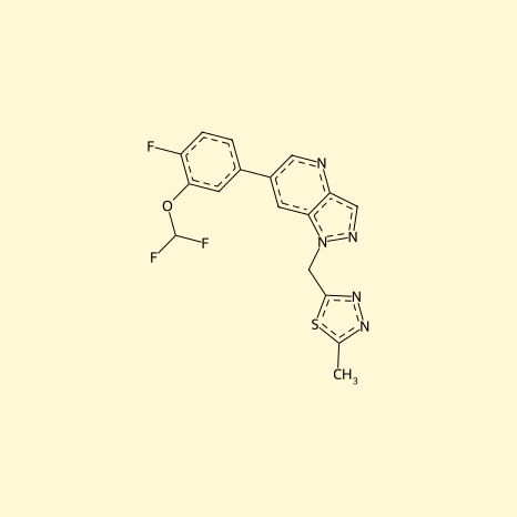 Cc1nnc(Cn2ncc3ncc(-c4ccc(F)c(OC(F)F)c4)cc32)s1